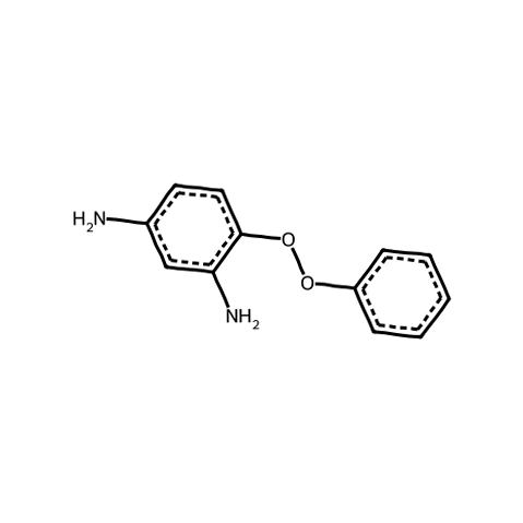 Nc1ccc(OOc2ccccc2)c(N)c1